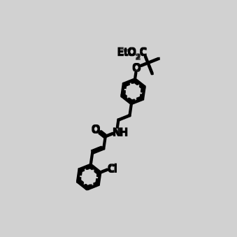 CCOC(=O)C(C)(C)Oc1ccc(CCNC(=O)C=Cc2ccccc2Cl)cc1